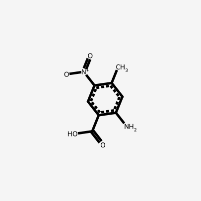 Cc1cc(N)c(C(=O)O)cc1[N+](=O)[O-]